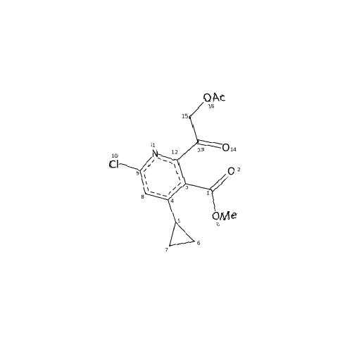 COC(=O)c1c(C2CC2)cc(Cl)nc1C(=O)COC(C)=O